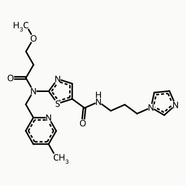 COCCC(=O)N(Cc1ccc(C)cn1)c1ncc(C(=O)NCCCn2ccnc2)s1